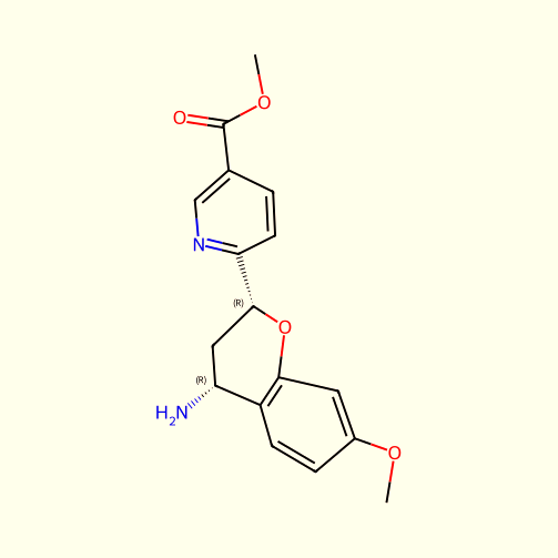 COC(=O)c1ccc([C@H]2C[C@@H](N)c3ccc(OC)cc3O2)nc1